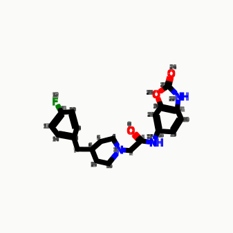 O=C(CN1CCC(Cc2ccc(F)cc2)CC1)Nc1ccc2[nH]c(=O)oc2c1